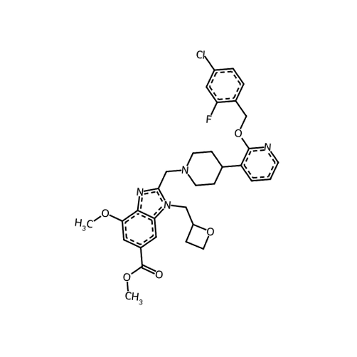 COC(=O)c1cc(OC)c2nc(CN3CCC(c4cccnc4OCc4ccc(Cl)cc4F)CC3)n(CC3CCO3)c2c1